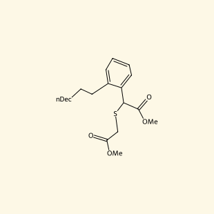 CCCCCCCCCCCCc1ccccc1C(SCC(=O)OC)C(=O)OC